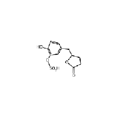 O=C1CCC(Cc2ccc(O)c(OS(=O)(=O)O)c2)O1